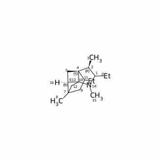 CCC1[C@H](C)[C@]23C[C@@H]4C(C)(CC2CC)CC43N1C